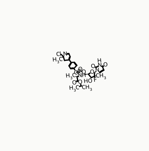 CC(C)OC(=O)[C@H](C)NP(=O)(OC[C@H]1O[C@@H](n2ccc(=O)[nH]c2=O)[C@](C)(F)[C@@H]1O)Oc1ccc(C2=CC=NC(C)(Cl)C2)cc1